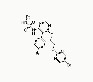 CCNS(=O)(=O)Nc1ncnc(OCCOc2ncc(Br)cn2)c1-c1ccc(Br)cc1